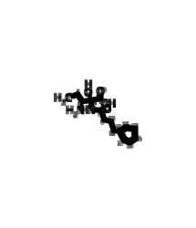 CC[C@@H](N)[C@@](O)(NC(=O)CCCc1ccccc1)C(=O)O